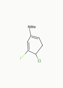 CNC1=CCC(Cl)C(F)=C1